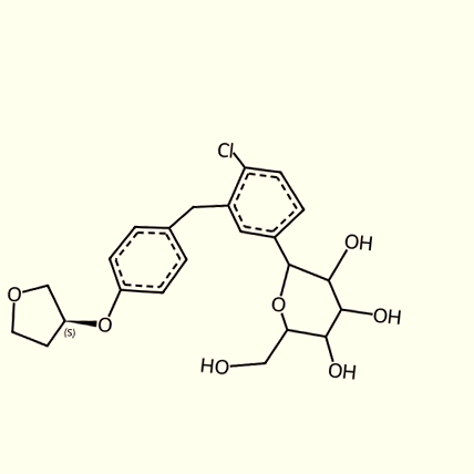 OCC1OC(c2ccc(Cl)c(Cc3ccc(O[C@H]4CCOC4)cc3)c2)C(O)C(O)C1O